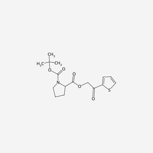 CC(C)(C)OC(=O)N1CCCC1C(=O)OCC(=O)c1cccs1